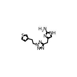 Nc1nc(Cc2nnn(CCc3ccsc3)n2)c[nH]1